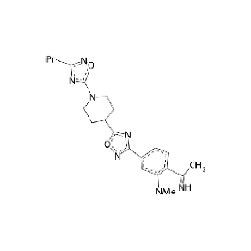 CNc1cc(-c2noc(C3CCN(c4nc(C(C)C)no4)CC3)n2)ccc1C(C)=N